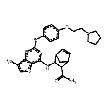 Cc1csc2c(NC3C4C=CC(C4)C3C(N)=O)nc(Nc3ccc(OCCN4CCCC4)cc3)nc12